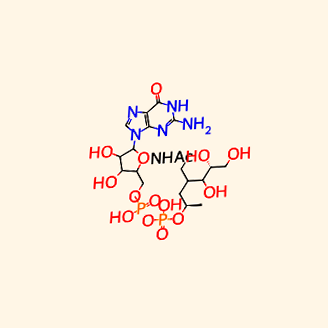 CC(=O)NCC(C[C@@H](C)OP(=O)(O)OP(=O)(O)OCC1OC(n2cnc3c(=O)[nH]c(N)nc32)C(O)C1O)C(O)[C@H](O)CO